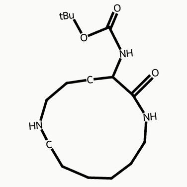 CC(C)(C)OC(=O)NC1CCCNCCCCCCNC1=O